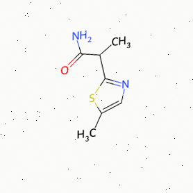 Cc1cnc(C(C)C(N)=O)s1